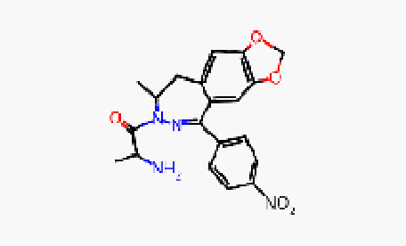 CC(N)C(=O)N1N=C(c2ccc([N+](=O)[O-])cc2)c2cc3c(cc2CC1C)OCO3